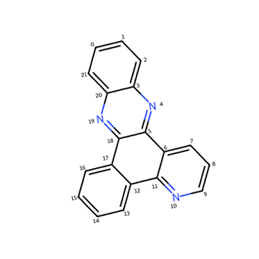 c1ccc2nc3c4cccnc4c4ccccc4c3nc2c1